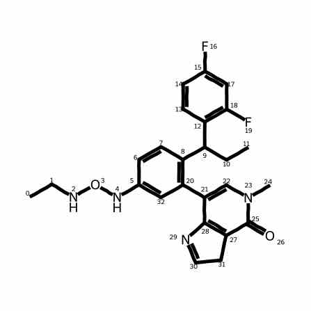 CCNONc1ccc(C(CC)c2ccc(F)cc2F)c(-c2cn(C)c(=O)c3c2N=CC3)c1